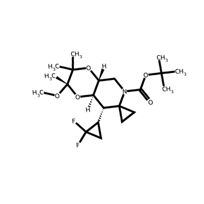 CO[C@@]1(C)O[C@@H]2[C@@H](C3CC3(F)F)C3(CC3)N(C(=O)OC(C)(C)C)C[C@H]2OC1(C)C